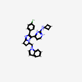 Fc1ccc(-c2nc3n(c2-c2ccnc(NC4CCC4)n2)C(Cn2ccc4ccccc42)CC3)cc1